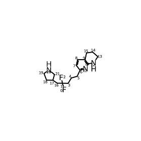 FC(F)(CCCc1ccc2c(n1)NCCC2)CC1CCNC1